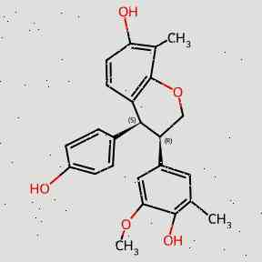 COc1cc([C@@H]2COc3c(ccc(O)c3C)[C@@H]2c2ccc(O)cc2)cc(C)c1O